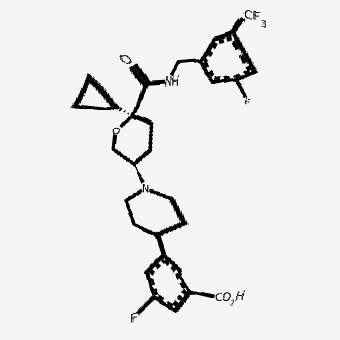 O=C(O)c1cc(F)cc(C2CCN([C@@H]3CC[C@@](C(=O)NCc4cc(F)cc(C(F)(F)F)c4)(C4CC4)OC3)CC2)c1